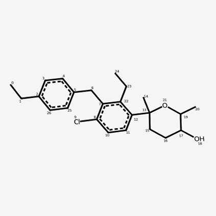 CCc1ccc(Cc2c(Cl)ccc(C3(C)CCC(O)C(C)O3)c2CC)cc1